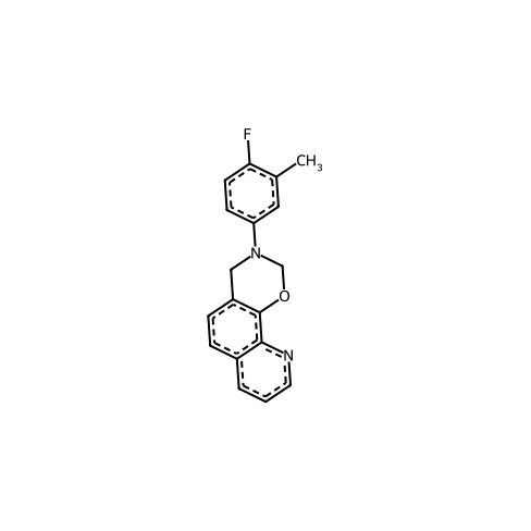 Cc1cc(N2COc3c(ccc4cccnc34)C2)ccc1F